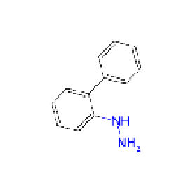 NNc1ccccc1-c1ccccc1